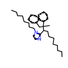 CCCCCCCCC(c1nccn1CCCCCCCC)C(C)(Cc1ccccc1)c1ccccc1